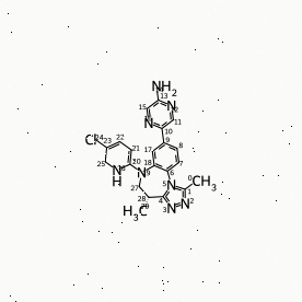 Cc1nnc2n1-c1ccc(-c3cnc(N)cn3)cc1N(C1=CC=C(Cl)CN1)C[C@H]2C